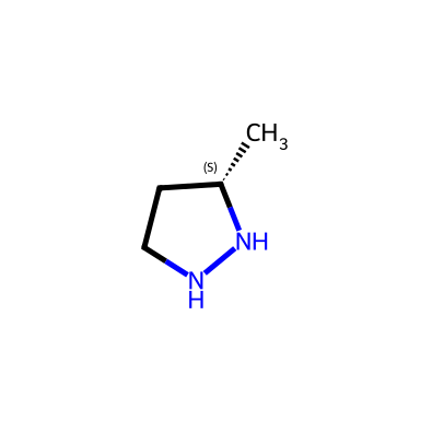 C[C@H]1CCNN1